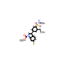 CC(=O)OCc1cc(-c2cn(C(=O)OC(C)(C)C)c3cc(F)ccc23)ccc1S(=O)(=O)NC(C)(C)C